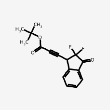 CC(C)(C)OC(=O)C#CC1c2ccccc2C(=O)C1(F)F